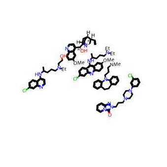 C=C[C@H]1C[N@]2CC[C@H]1C[C@H]2[C@H](O)c1ccnc2ccc(OC)cc12.CCN(CC)CCCC(C)Nc1c2ccc(Cl)cc2nc2ccc(OC)cc12.CCN(CCO)CCCC(C)Nc1ccnc2cc(Cl)ccc12.CNCCCN1c2ccccc2CCc2ccccc21.O=c1n(CCCN2CCN(c3cccc(Cl)c3)CC2)nc2ccccn12